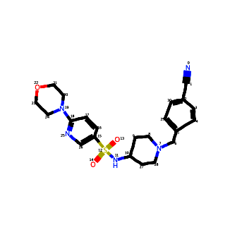 N#Cc1ccc(CN2CCC(NS(=O)(=O)c3ccc(N4CCOCC4)nc3)CC2)cc1